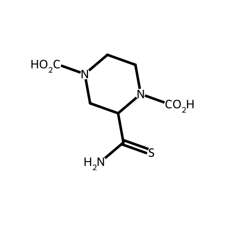 NC(=S)C1CN(C(=O)O)CCN1C(=O)O